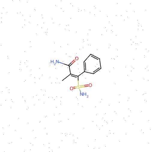 CC(C(N)=O)=C(c1ccccc1)S(N)(=O)=O